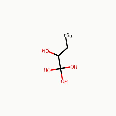 CCCCCC(O)C(O)(O)O